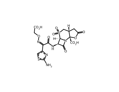 Nc1nc(/C(=N/OCC(=O)O)C(=O)N[C@@H]2C(=O)N3[C@@H]2S(=O)(=O)C[C@@H]2CC(=O)O[C@@]23C(=O)O)cs1